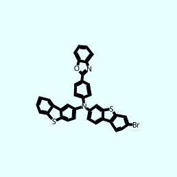 Brc1ccc2c(c1)sc1cc(N(c3ccc(-c4nc5ccccc5o4)cc3)c3ccc4sc5ccccc5c4c3)ccc12